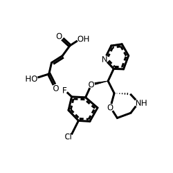 Fc1cc(Cl)ccc1O[C@@H](c1ccccn1)[C@@H]1CNCCO1.O=C(O)/C=C/C(=O)O